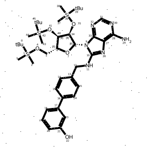 CC(C)(C)[Si](C)(C)OC[C@H]1O[C@@H](n2c(NCc3ccc(-c4cccc(O)c4)cc3)nc3c(N)ncnc32)[C@H](O[Si](C)(C)C(C)(C)C)[C@@H]1O[Si](C)(C)C(C)(C)C